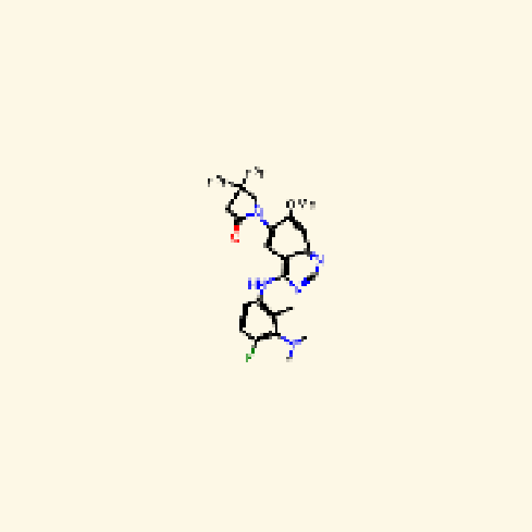 CCCC1(CCC)CC(=O)N(c2cc3c(Nc4ccc(F)c(N(C)C)c4C)ncnc3cc2OC)C1